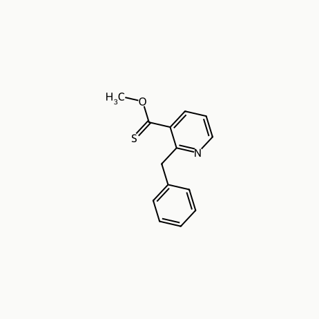 COC(=S)c1cccnc1Cc1ccccc1